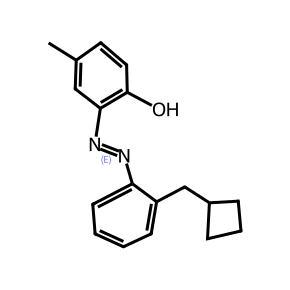 Cc1ccc(O)c(/N=N/c2ccccc2CC2CCC2)c1